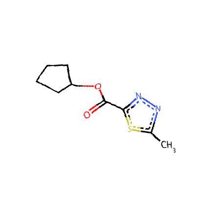 Cc1nnc(C(=O)OC2CCCC2)s1